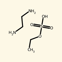 CCOS(=O)(=O)O.NCCN